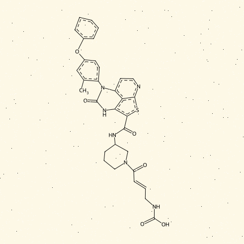 Cc1cc(Oc2ccccc2)ccc1N1C(=O)Nc2c(C(=O)NC3CCCN(C(=O)C=CCNC(=O)O)C3)sc3nccc1c23